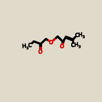 CCC(=O)COCC(=O)C=C(C)C